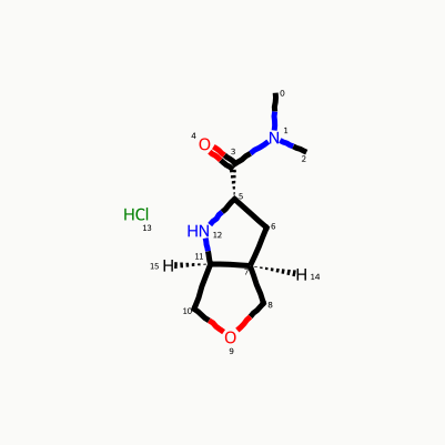 CN(C)C(=O)[C@@H]1C[C@H]2COC[C@H]2N1.Cl